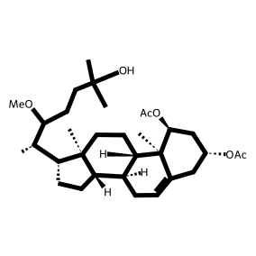 COC(CCC(C)(C)O)[C@@H](C)[C@H]1CC[C@H]2[C@@H]3CC=C4C[C@@H](OC(C)=O)C[C@H](OC(C)=O)[C@]4(C)[C@H]3CC[C@]12C